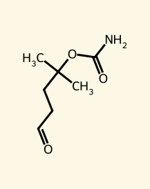 CC(C)(CCC=O)OC(N)=O